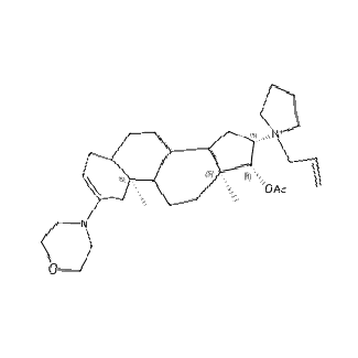 C=CC[N+]1([C@H]2CC3C4CCC5CC=C(N6CCOCC6)C[C@]5(C)C4CC[C@]3(C)[C@H]2OC(C)=O)CCCC1